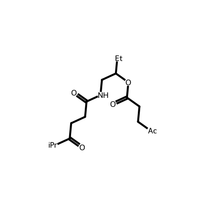 CCC(CNC(=O)CCC(=O)C(C)C)OC(=O)CCC(C)=O